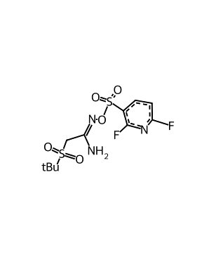 CC(C)(C)S(=O)(=O)CC(N)=NOS(=O)(=O)c1ccc(F)nc1F